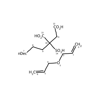 C=CCOCC=C.CCCCCCCCCCCCC(CC(=O)O)(C(=O)O)S(=O)(=O)O